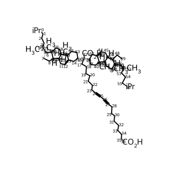 CC(C)CCC[C@@H](C)[C@H]1CC[C@H]2[C@@H]3CC=C4C[C@@H](C(CCCCCCCC#CC#CCCCCCCCCC(=O)O)(C(=O)O)[C@H]5CC[C@@]6(C)C(=CC[C@H]7[C@@H]8CC[C@H]([C@H](C)CCCC(C)C)[C@@]8(C)CC[C@@H]76)C5)CC[C@]4(C)[C@H]3CC[C@]12C